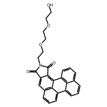 O=c1c2cc3cccc4c5cccc6cccc(c65)c(c2c(=O)n1CCOCCOCCO)c34